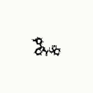 O=C(NCC1(CO)CCOCC1)c1nc(-c2cccc(Cl)c2)c2ccccn12